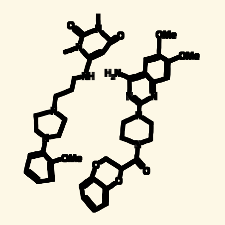 COc1cc2nc(N3CCN(C(=O)C4COc5ccccc5O4)CC3)nc(N)c2cc1OC.COc1ccccc1N1CCN(CCCNc2cc(=O)n(C)c(=O)n2C)CC1